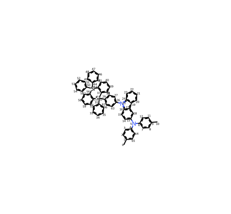 Cc1ccc(N(c2ccc(C)cc2)c2ccc3c(c2)c2ccccc2n3-c2ccc([Si]3(c4ccccc4)c4ccccc4[Si](c4ccccc4)(c4ccccc4)c4ccccc43)cc2)cc1